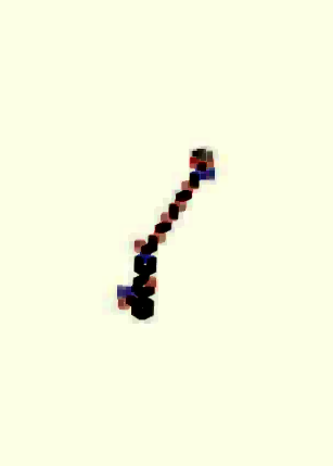 CC(C)(C)OC(=O)NCCOCCOCCOCCOCCC(=O)N1CCC(C2Cc3[nH]c(=O)c4ccccc4c3CO2)CC1